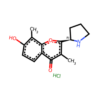 Cc1c([C@H]2CCCN2)oc2c(C)c(O)ccc2c1=O.Cl